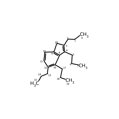 CCCC1=C(CCC)c2c(ccc(CCC)c2CCC)[CH]1